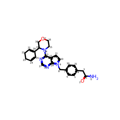 NC(=O)Cc1ccc(Cn2ccc3c(N4CCOCC4C4=CCCC=C4)ncnc32)cc1